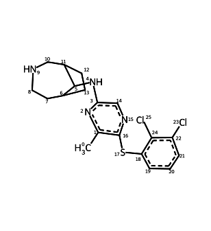 Cc1nc(NC2C3CCNCC2CC3)cnc1Sc1cccc(Cl)c1Cl